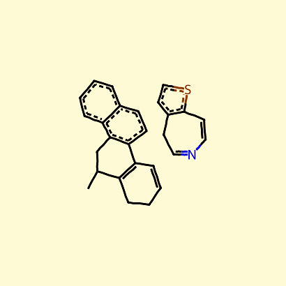 C1=Cc2sccc2CC=N1.CC1Cc2c(ccc3ccccc23)C2=C1CCC=C2